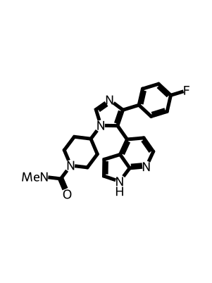 CNC(=O)N1CCC(n2cnc(-c3ccc(F)cc3)c2-c2ccnc3[nH]ccc23)CC1